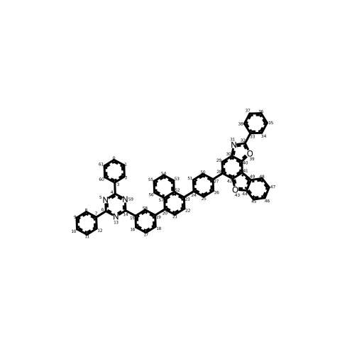 c1ccc(-c2nc(-c3ccccc3)nc(-c3cccc(-c4ccc(-c5ccc(-c6cc7nc(-c8ccccc8)oc7c7c6oc6ccccc67)cc5)c5ccccc45)c3)n2)cc1